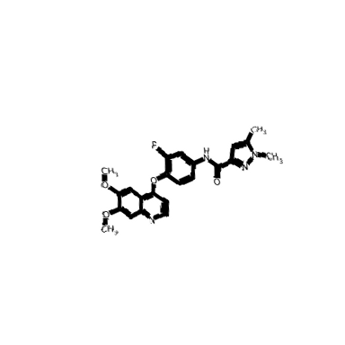 COc1cc2nccc(Oc3ccc(NC(=O)c4cc(C)n(C)n4)cc3F)c2cc1OC